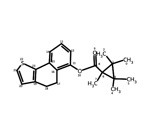 CC1(C)C(C)(C)C1(C)C(=O)Oc1cccc2c1CCc1ccsc1-2